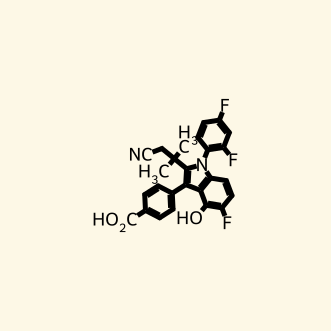 CC(C)(CC#N)c1c(-c2ccc(C(=O)O)cc2)c2c(O)c(F)ccc2n1-c1ccc(F)cc1F